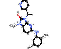 CC(c1cccnc1)n1c(=O)n(C(=O)O)c2ccc(Nc3cc(C#N)ccc3[N+](=O)[O-])nc21